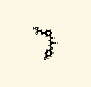 O=C(O)C=Cc1cccc(NCC(O)COc2ccc(Cl)cc2)c1